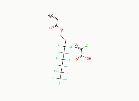 C=C(Cl)C(=O)O.C=CC(=O)OCCC(F)(F)C(F)(F)C(F)(F)C(F)(F)C(F)(F)C(F)(F)F